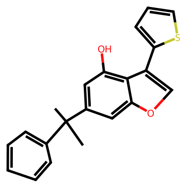 CC(C)(c1ccccc1)c1cc(O)c2c(-c3cccs3)coc2c1